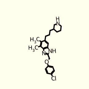 Cc1c(CCCC2CCCNC2)cc2[nH]c(COc3ccc(Cl)cc3)nc2c1C